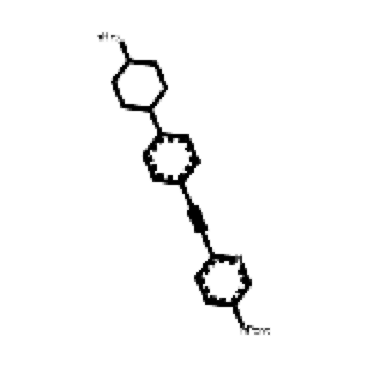 CCCCCCC1CCC(c2ccc(C#Cc3ccc(CCCCC)cn3)cc2)CC1